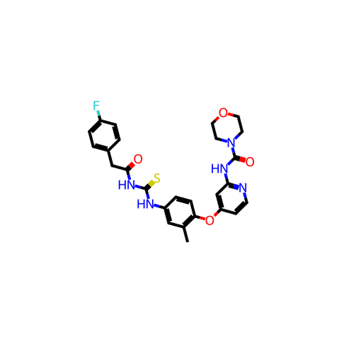 Cc1cc(NC(=S)NC(=O)Cc2ccc(F)cc2)ccc1Oc1ccnc(NC(=O)N2CCOCC2)c1